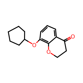 O=C1CCOc2c(OC3CCCCC3)cccc21